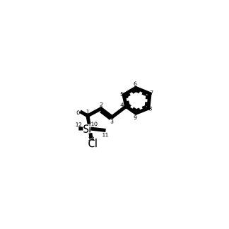 CC(C=Cc1ccccc1)[Si](C)(C)Cl